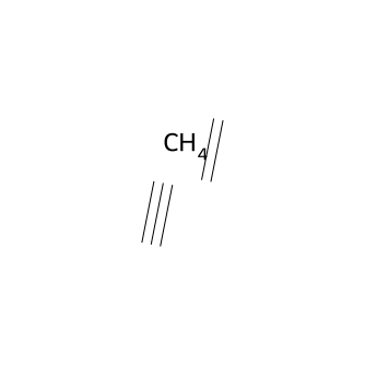 C.C#C.C=C